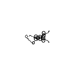 C#CCCCC(=O)OCC(COC(=O)CCCC#C)OC(=O)OC(C)OC(=O)CCC/C=C\C[C@H]1CCC[C@@H]1/C=C/CCCc1ccccc1